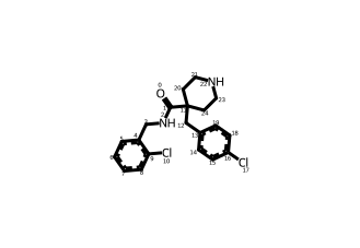 O=C(NCc1ccccc1Cl)C1(Cc2ccc(Cl)cc2)CCNCC1